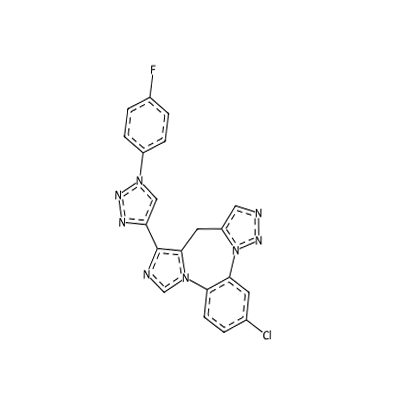 Fc1ccc(-n2cc(-c3ncn4c3Cc3cnnn3-c3cc(Cl)ccc3-4)nn2)cc1